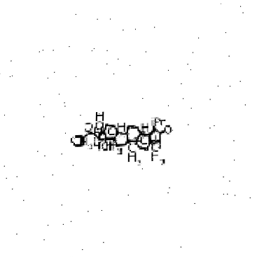 CC(C)C1=C2[C@H]3CC[C@@H]4[C@@]5(C)CC[C@@](O)(NC(=O)c6ccsc6)C(C)(C)[C@@H]5CC[C@@]4(C)[C@]3(C)CC[C@@]2(C)CC1=O